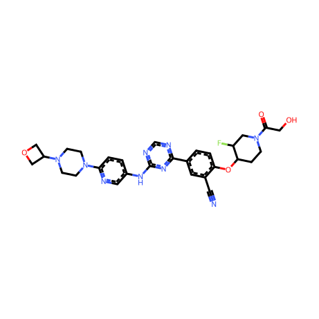 N#Cc1cc(-c2ncnc(Nc3ccc(N4CCN(C5COC5)CC4)nc3)n2)ccc1OC1CCN(C(=O)CO)CC1F